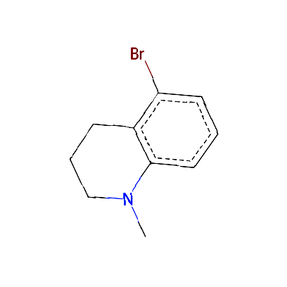 CN1CCCc2c(Br)cccc21